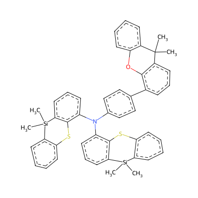 CC1(C)c2ccccc2Oc2c(-c3ccc(N(c4cccc5c4Sc4ccccc4[Si]5(C)C)c4cccc5c4Sc4ccccc4[Si]5(C)C)cc3)cccc21